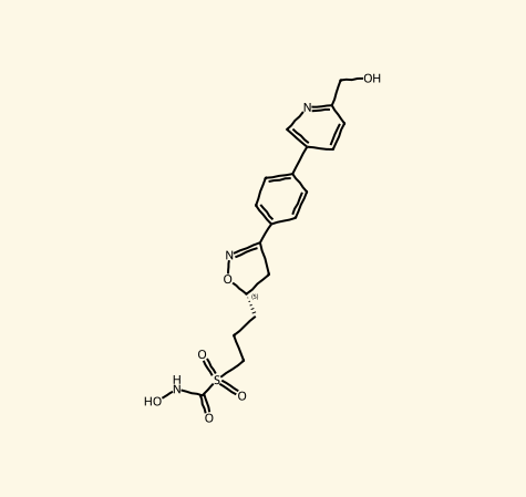 O=C(NO)S(=O)(=O)CCC[C@H]1CC(c2ccc(-c3ccc(CO)nc3)cc2)=NO1